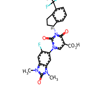 Cn1c(=O)n(C)c2cc(-n3cc(C(=O)O)c(=O)n([C@@H]4CCc5c4cccc5C(C)(F)F)c3=O)c(F)cc21